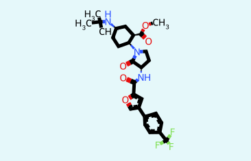 COC(=O)[C@@H]1C[C@H](NC(C)(C)C)CC[C@@H]1N1CC[C@H](NC(=O)c2cc(-c3ccc(C(F)(F)F)cc3)co2)C1=O